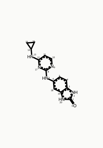 O=c1[nH]c2ccc(Nc3nccc(NC4CC4)n3)cc2[nH]1